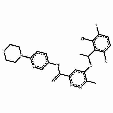 Cc1nnc(C(=O)Nc2ccc(N3CCOCC3)nc2)cc1OC(C)c1c(Cl)ccc(F)c1Cl